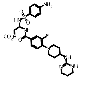 Nc1ccc(S(=O)(=O)NC(CC(=O)O)NC(=O)c2ccc(N3CCC(NC4=NCCCN4)CC3)c(F)c2)cc1